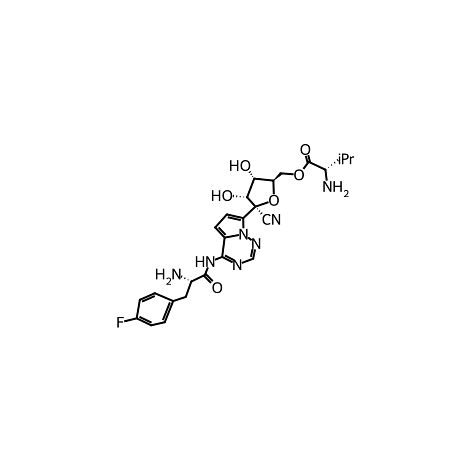 CC(C)[C@H](N)C(=O)OC[C@H]1O[C@@](C#N)(c2ccc3c(NC(=O)[C@@H](N)Cc4ccc(F)cc4)ncnn23)[C@H](O)[C@@H]1O